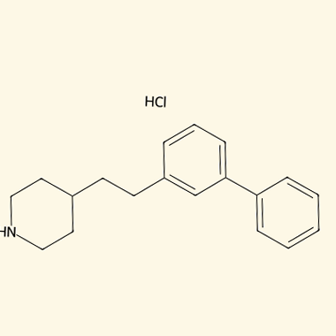 Cl.c1ccc(-c2cccc(CCC3CCNCC3)c2)cc1